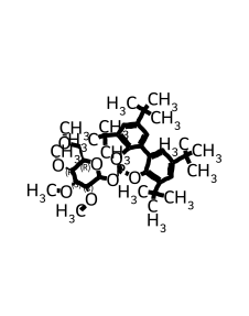 COC[C@H]1OC(Op2oc3c(C(C)(C)C)cc(C(C)(C)C)cc3c3cc(C(C)(C)C)cc(C(C)(C)C)c3o2)[C@H](OC)[C@@H](OC)[C@@H]1OC